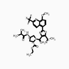 CCOC(=O)[C@@H]1C[C@@H](NC(=O)C(C)C)CN1C(=O)c1nc(-c2ccc(OC)c3nc(C(F)(F)F)ccc23)oc1[C@H](C)N